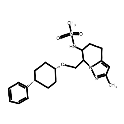 Cc1cc2n(n1)C(CO[C@H]1CC[C@@H](c3ccccc3)CC1)C(NS(C)(=O)=O)CC2